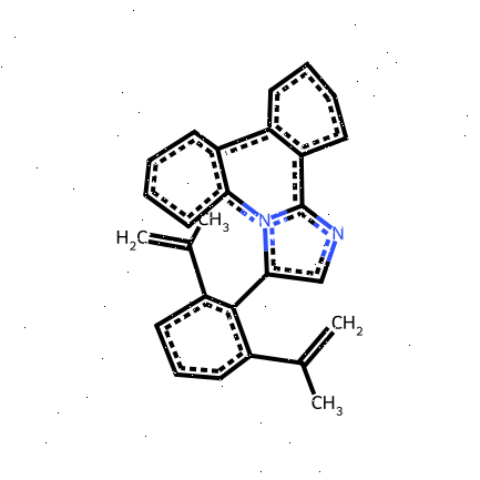 C=C(C)c1cccc(C(=C)C)c1-c1cnc2c3ccccc3c3ccccc3n12